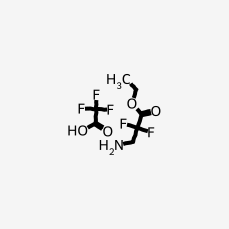 CCOC(=O)C(F)(F)CN.O=C(O)C(F)(F)F